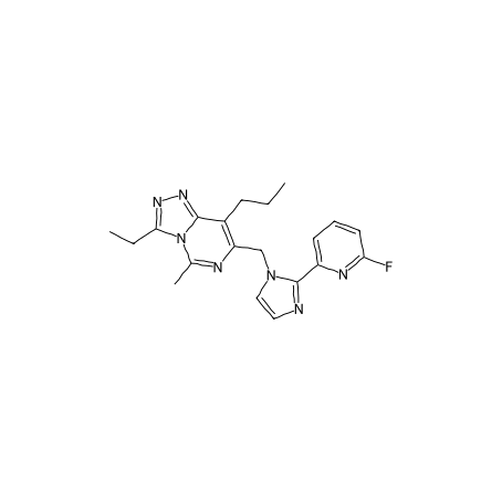 CCCc1c(Cn2ccnc2-c2cccc(F)n2)nc(C)n2c(CC)nnc12